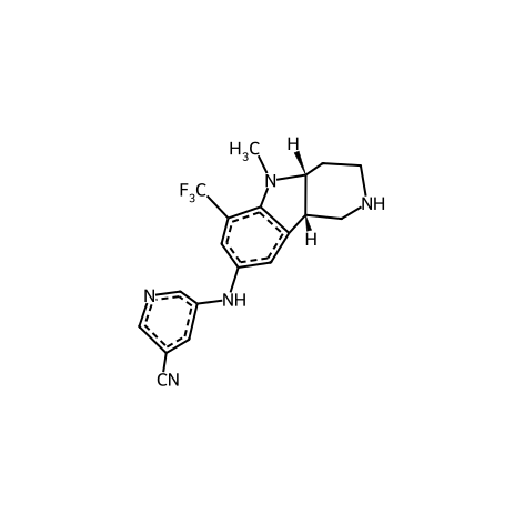 CN1c2c(cc(Nc3cncc(C#N)c3)cc2C(F)(F)F)[C@H]2CNCC[C@H]21